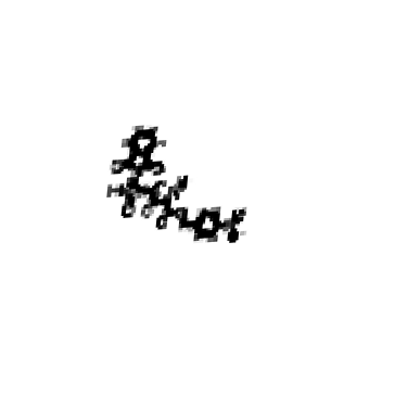 C[C@@H](C(=O)C(=[N+]=[N-])C(=O)OCc1ccc([N+](=O)[O-])cc1)[C@@H]1C(=O)N[C@@H]1N1C(=O)c2ccccc2C1=O